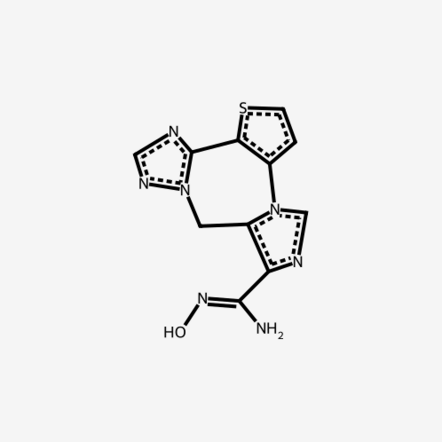 NC(=NO)c1ncn2c1Cn1ncnc1-c1sccc1-2